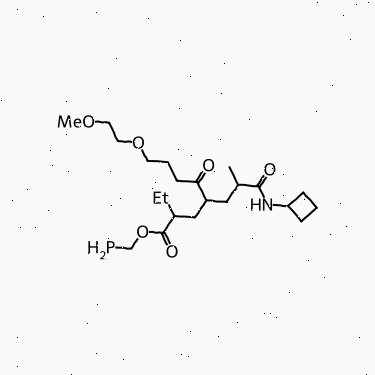 CCC(CC(CC(C)C(=O)NC1CCC1)C(=O)CCCOCCOC)C(=O)OCP